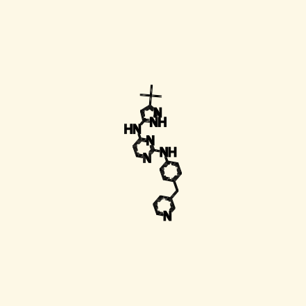 CC(C)(C)c1cc(Nc2ccnc(Nc3ccc(Cc4cccnc4)cc3)n2)[nH]n1